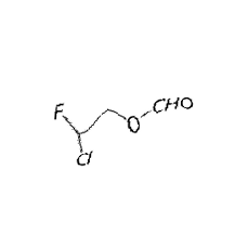 O=COCC(F)Cl